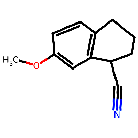 COc1ccc2c(c1)C(C#N)CCC2